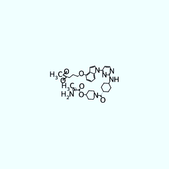 C[C@H](N)C(=O)OC1CCN(C(=O)[C@H]2CC[C@H](Nc3nccc(-n4ccc5c(OCCCS(C)(=O)=O)cccc54)n3)CC2)CC1